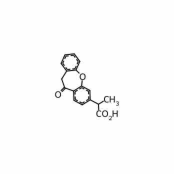 CC(C(=O)O)c1ccc2c(c1)Oc1ccccc1CC2=O